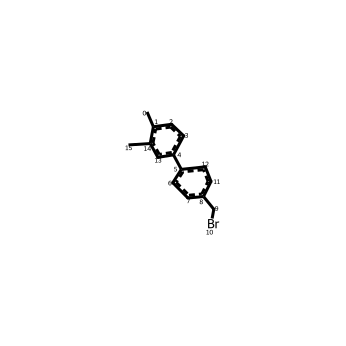 Cc1ccc(-c2ccc(CBr)cc2)cc1C